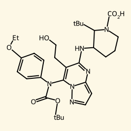 CCOc1ccc(N(C(=O)OC(C)(C)C)c2c(CCO)c(NC3CCCN(C(=O)O)C3C(C)(C)C)nc3ccnn23)cc1